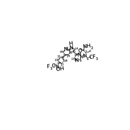 C[C@H](C(N)=O)N(CC(F)(F)F)c1cncc(-c2c[nH]c3ncc(-c4ccc(C(O)C(F)(F)F)cc4)cc23)n1